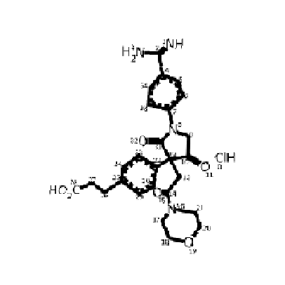 Cl.N=C(N)c1ccc(N2CC(=O)C(CC(=O)N3CCOCC3)(c3ccc(CCC(=O)O)cc3)C2=O)cc1